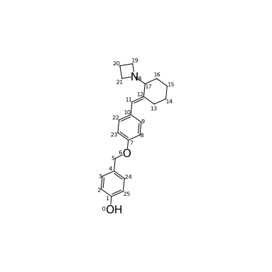 Oc1ccc(COc2ccc(C=C3CCCCC3N3CCC3)cc2)cc1